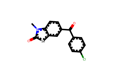 Cn1c(=O)[se]c2cc(C(=O)c3ccc(Cl)cc3)ccc21